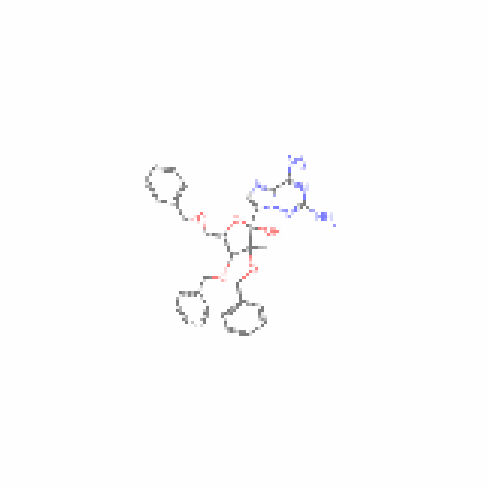 CC1(OCc2ccccc2)C(OCc2ccccc2)C(COCc2ccccc2)OC1(O)c1cnc2c(N)nc(N)nn12